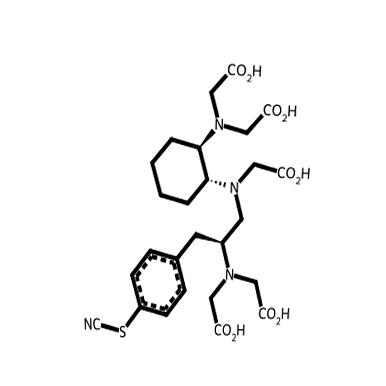 N#CSc1ccc(C[C@@H](CN(CC(=O)O)[C@@H]2CCCC[C@H]2N(CC(=O)O)CC(=O)O)N(CC(=O)O)CC(=O)O)cc1